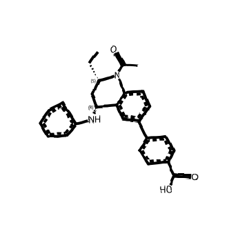 CC[C@H]1C[C@@H](Nc2ccccc2)c2cc(-c3ccc(C(=O)O)cc3)ccc2N1C(C)=O